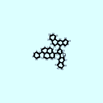 c1ccc(-c2ccc3ccc4c(-c5cc(-c6c7ccccc7cc7c6ccc6ccccc67)cc6oc7cc8ccccc8cc7c56)ccc5ccc2c3c54)cc1